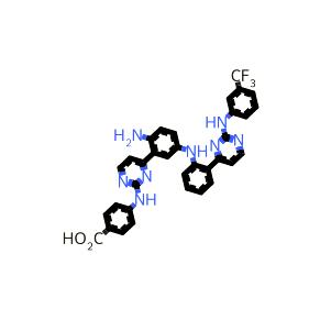 Nc1ccc(Nc2ccccc2-c2ccnc(Nc3cccc(C(F)(F)F)c3)n2)cc1-c1ccnc(Nc2ccc(C(=O)O)cc2)n1